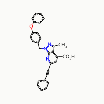 Cc1nn(Cc2ccc(Oc3ccccc3)cc2)c2nc(C#Cc3ccccc3)cc(C(=O)O)c12